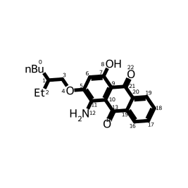 CCCCC(CC)COc1cc(O)c2c(c1N)C(=O)c1ccccc1C2=O